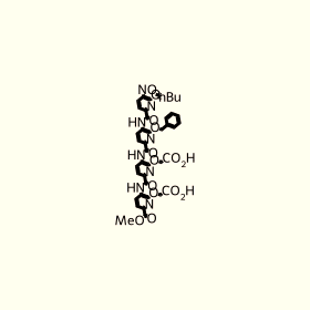 CCCCOc1nc(C(=O)Nc2ccc(C(=O)Nc3ccc(C(=O)Nc4ccc(C(=O)OC)nc4OCC(=O)O)nc3OCC(=O)O)nc2OCc2ccccc2)ccc1[N+](=O)[O-]